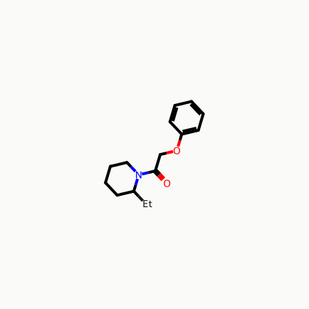 CCC1CCCCN1C(=O)COc1ccccc1